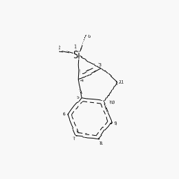 C[Si]1(C)C2=C1c1ccccc1[CH]2